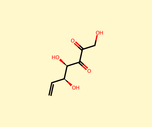 C=C[C@H](O)[C@@H](O)C(=O)C(=O)CO